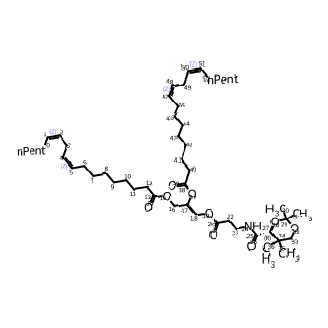 CCCCC/C=C\C/C=C\CCCCCCCC(=O)OCC(COC(=O)CCNC(=O)[C@@H]1OC(C)(C)OCC1(C)C)OC(=O)CCCCCCC/C=C\C/C=C\CCCCC